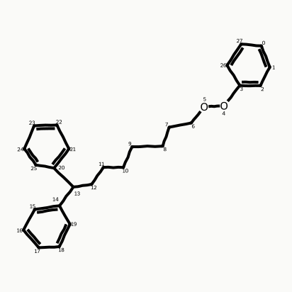 c1ccc(OOCCCCCCCC(c2ccccc2)c2ccccc2)cc1